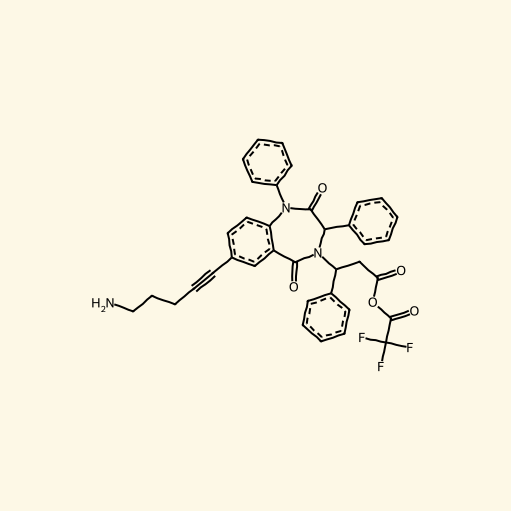 NCCCC#Cc1ccc2c(c1)C(=O)N(C(CC(=O)OC(=O)C(F)(F)F)c1ccccc1)C(c1ccccc1)C(=O)N2c1ccccc1